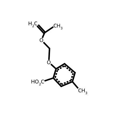 C=C(C)OCOc1ccc(C)cc1C(=O)O